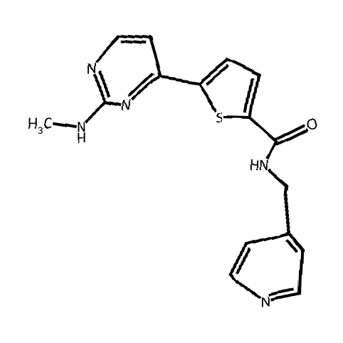 CNc1nccc(-c2ccc(C(=O)NCc3ccncc3)s2)n1